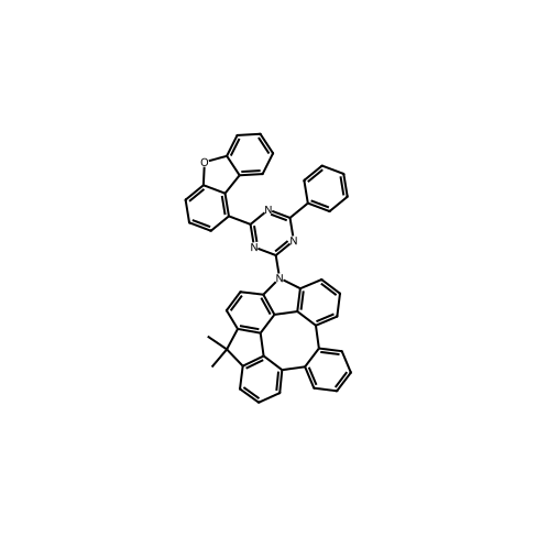 CC1(C)c2cccc3c4ccccc4c4cccc5c4c4c(c1ccc4n5-c1nc(-c4ccccc4)nc(-c4cccc5oc6ccccc6c45)n1)c23